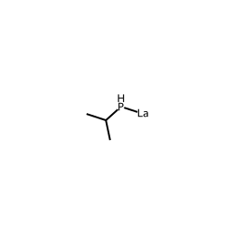 CC(C)[PH][La]